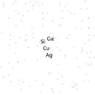 [Ag].[Cu].[Ga].[Si]